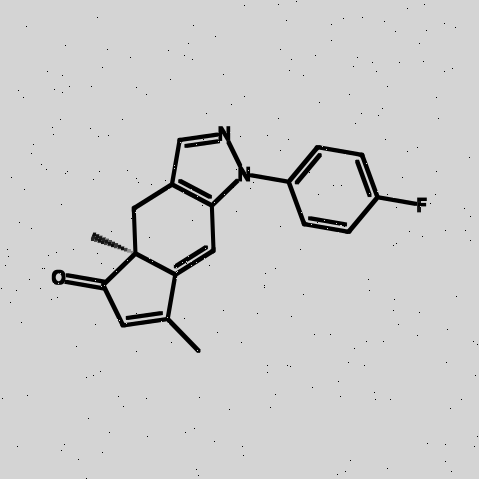 CC1=CC(=O)[C@@]2(C)Cc3cnn(-c4ccc(F)cc4)c3C=C12